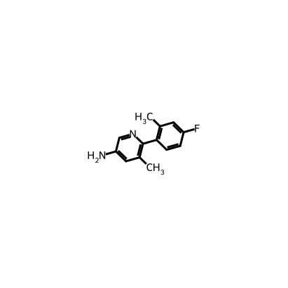 Cc1cc(F)ccc1-c1ncc(N)cc1C